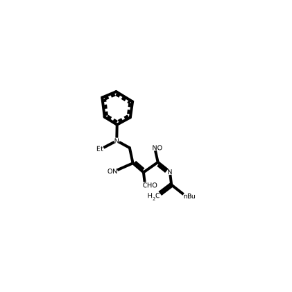 C=C(CCCC)/N=C(N=O)\C(C=O)=C(/CN(CC)c1ccccc1)N=O